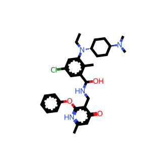 CCN(c1cc(Cl)cc(C(O)NCc2c(Oc3ccccc3)[nH]c(C)cc2=O)c1C)[C@H]1CC[C@H](N(C)C)CC1